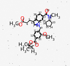 COC(=O)CCc1cn(Cc2ccc(C(=O)OC(C)(C)C)cc2OC)c2cc(C(=O)N(C)C3CCCC3)ccc12